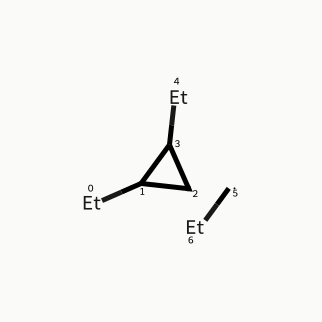 CCC1CC1CC.[CH2]CC